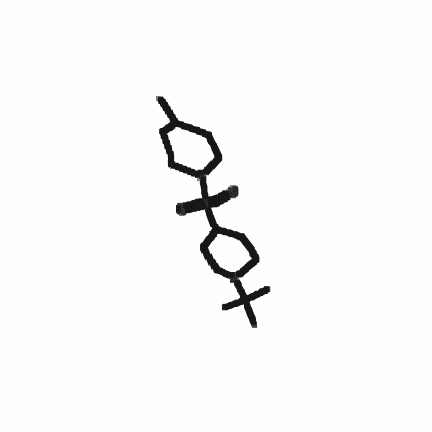 CC1CCN(S(=O)(=O)C2CCN(C(C)(C)C)CC2)CC1